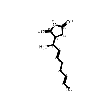 CC/C=C/CC/C=C/C(C)C1CC(=O)OC1=O